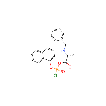 C[C@@H](NCc1ccccc1)C(=O)OP(=O)(Cl)Oc1cccc2ccccc12